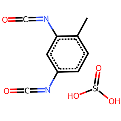 Cc1ccc(N=C=O)cc1N=C=O.O=[Si](O)O